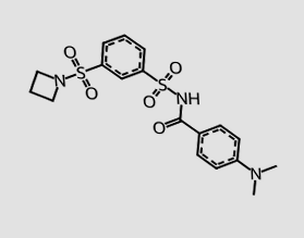 CN(C)c1ccc(C(=O)NS(=O)(=O)c2cccc(S(=O)(=O)N3CCC3)c2)cc1